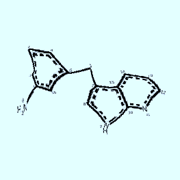 Nc1cccc(Cc2c[nH]c3ncccc23)c1